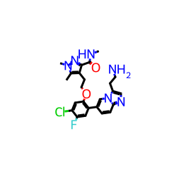 CNC(=O)c1nn(C)c(C)c1CCOc1cc(Cl)c(F)cc1-c1ccc2ncc(CCN)n2c1